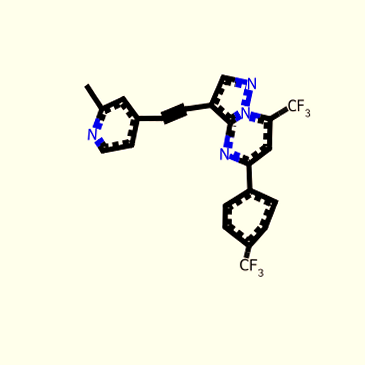 Cc1cc(C#Cc2cnn3c(C(F)(F)F)cc(-c4ccc(C(F)(F)F)cc4)nc23)ccn1